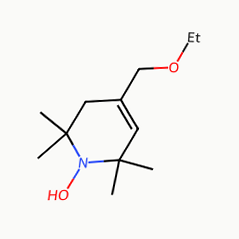 CCOCC1=CC(C)(C)N(O)C(C)(C)C1